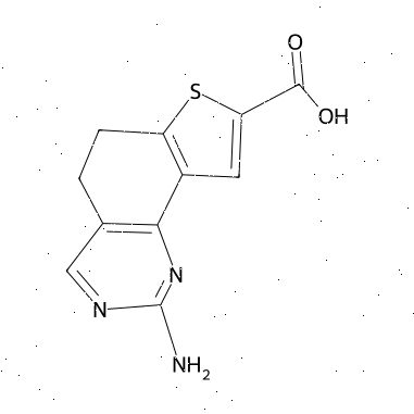 Nc1ncc2c(n1)-c1cc(C(=O)O)sc1CC2